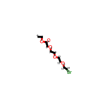 CCOC(=O)COCCOCCOCCBr